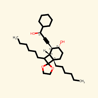 CCCCCCC1[C@@H]2[C@@H](C#C[C@@H](O)C3CCCCC3)[C@H](O)CC[C@]2(CCCCCC)C12OCCO2